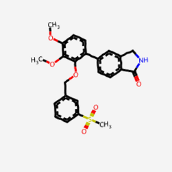 COc1ccc(-c2ccc3c(c2)CNC3=O)c(OCc2cccc(S(C)(=O)=O)c2)c1OC